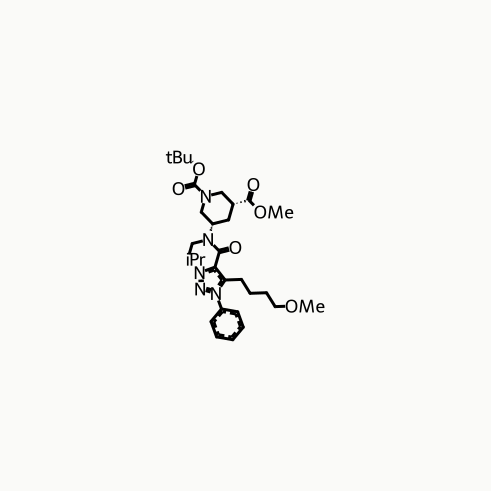 COCCCCc1c(C(=O)N(CC(C)C)[C@H]2C[C@@H](C(=O)OC)CN(C(=O)OC(C)(C)C)C2)nnn1-c1ccccc1